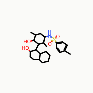 Cc1ccc(S(=O)(=O)NC2CC(C)C(O)C(C3C(O)CCC4CCCCC43)C2C)cc1